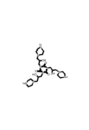 O=c1n(CC(O)CN2CCNCC2)c(=O)n(CC(O)CN2CCNCC2)c(=O)n1CC(O)CN1CCNCC1